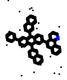 c1ccc(-c2ccc3c(-c4ccc5ccccc5c4)c4cc(-c5cc6ccccc6c6ncccc56)ccc4c(-c4ccc5ccccc5c4)c3c2)cc1